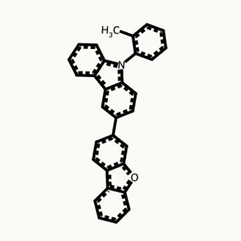 Cc1ccccc1-n1c2ccccc2c2cc(-c3ccc4c(c3)oc3ccccc34)ccc21